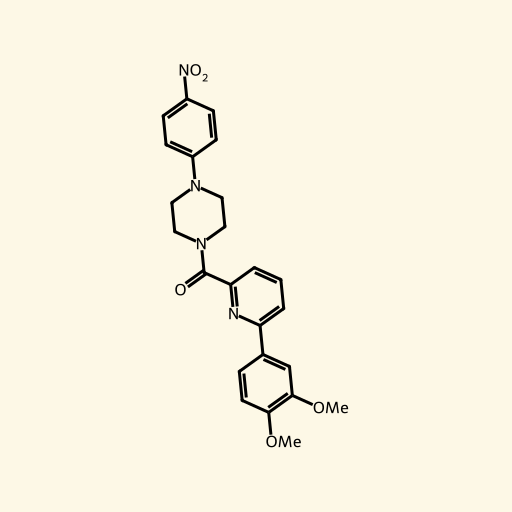 COc1ccc(-c2cccc(C(=O)N3CCN(c4ccc([N+](=O)[O-])cc4)CC3)n2)cc1OC